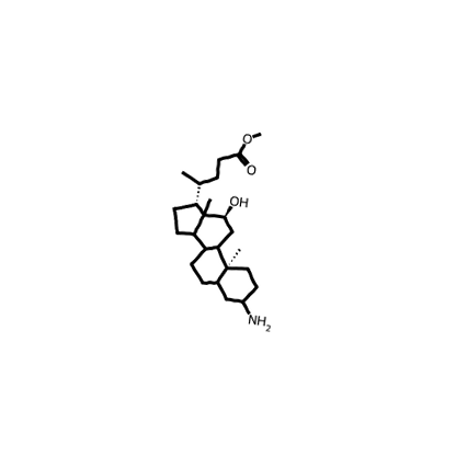 COC(=O)CCC(C)[C@H]1CCC2C3CCC4CC(N)CC[C@]4(C)C3C[C@H](O)C21C